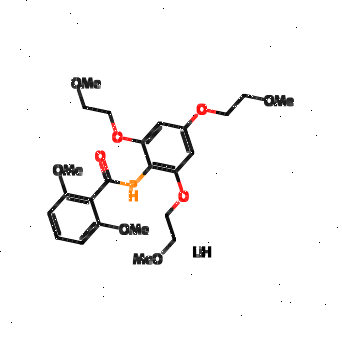 COCCOc1cc(OCCOC)c(PC(=O)c2c(OC)cccc2OC)c(OCCOC)c1.[LiH]